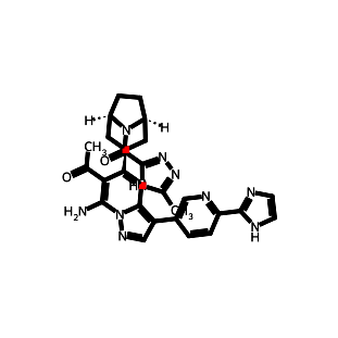 CC(=O)c1c([C@H]2C[C@H]3CC[C@@H](C2)N3C(=O)c2nnc(C)[nH]2)nc2c(-c3ccc(-c4ncc[nH]4)nc3)cnn2c1N